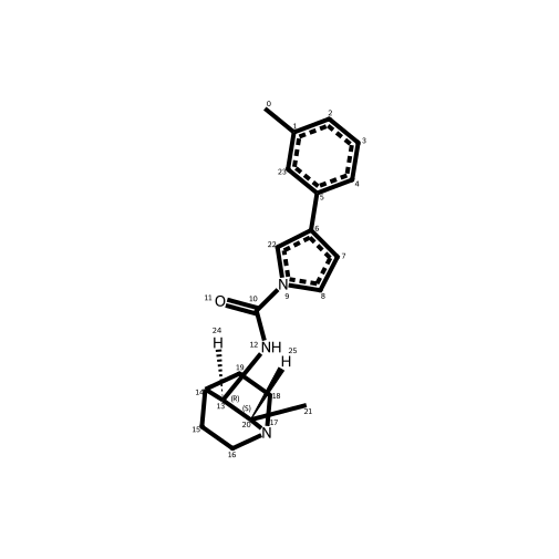 Cc1cccc(-c2ccn(C(=O)N[C@@H]3C4CCN(CC4)[C@H]3C)c2)c1